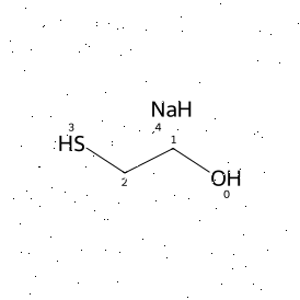 OCCS.[NaH]